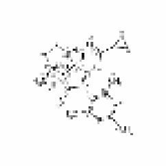 Cc1cc(C)c(C2=C(OC(=O)C3CC3)[C@H]3[C@@H](C2=O)[C@]2(C)CC[C@@]3(C)O2)c(C)c1